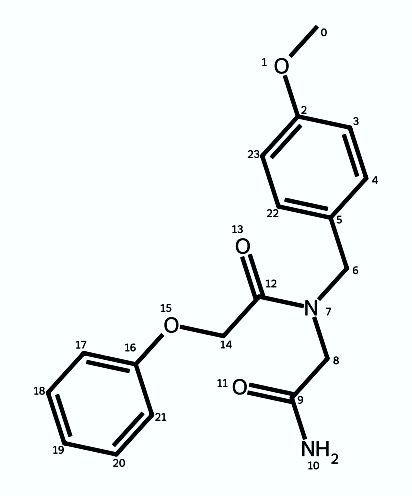 COc1ccc(CN(CC(N)=O)C(=O)COc2ccccc2)cc1